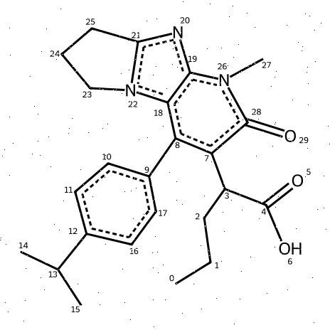 CCCC(C(=O)O)c1c(-c2ccc(C(C)C)cc2)c2c(nc3n2CCC3)n(C)c1=O